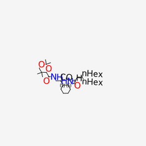 CCCCCCC(CCCCCC)CC(=O)N[C@H]1CCCC[C@H]1C(CNC(=O)C1OC(C)(C)OCC1(C)C)C(=O)O